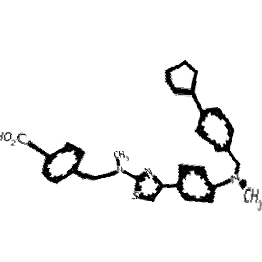 CN(Cc1ccc(C2CCCC2)cc1)c1ccc(-c2csc(N(C)Cc3ccc(C(=O)O)cc3)n2)cc1